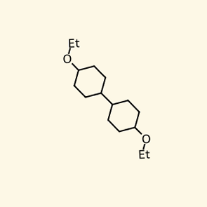 CCOC1CCC(C2CCC(OCC)CC2)CC1